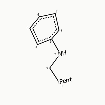 CCCC(C)CNc1ccccc1